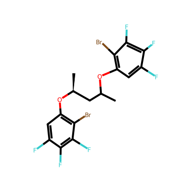 CC(C[C@H](C)Oc1cc(F)c(F)c(F)c1Br)Oc1cc(F)c(F)c(F)c1Br